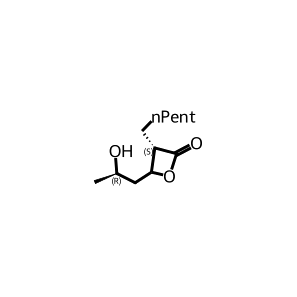 CCCCCC[C@@H]1C(=O)OC1C[C@@H](C)O